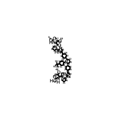 COC(=O)N[C@@H](C(=O)N1CCC[C@H]1c1ncc(-c2ccc([C@H]3CC[C@H](c4ccc(-c5cnc([C@@H]6CCCN6C(=O)[C@@H](NC(=O)O)[C@H](C)OC)[nH]5)cc4)N3c3ccc(C(C)(C)C)cc3)cc2)[nH]1)[C@H](C)OC